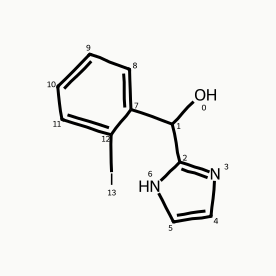 OC(c1ncc[nH]1)c1ccccc1I